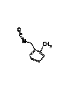 Cc1ccccc1CN=C=O